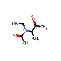 CCN(C(C)=O)C(C)C(C)=O